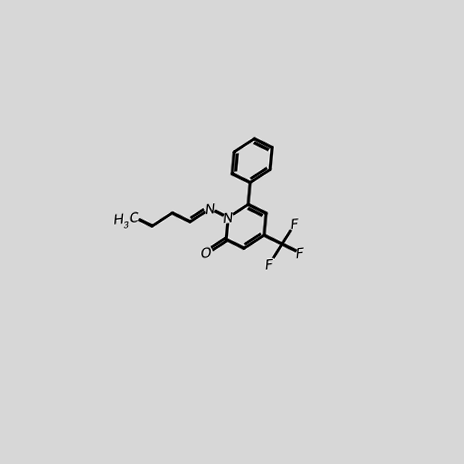 CCCC=Nn1c(-c2ccccc2)cc(C(F)(F)F)cc1=O